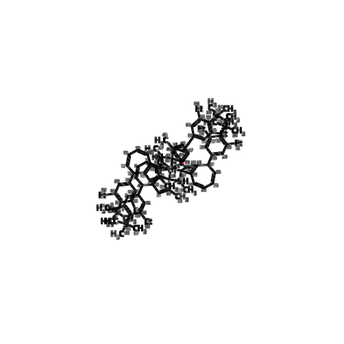 CCc1cc(C2C=CC=CC3=C2C=C(C)[C]32[SiH](C)[C]3(C(C)=CC4=C3C=CC=CC4c3cc(CC)c([Si](C)(C)C)c(CC)c3)[Hf]23([Cl])([Cl])[C]2(C(C)=CC4=C2C=CC=CC4c2cc(CC)c([Si](C)(C)C)c(CC)c2)[SiH](C)[C]32C(C)=CC3=C2C=CC=CC3c2cc(CC)c([Si](C)(C)C)c(CC)c2)cc(CC)c1[Si](C)(C)C